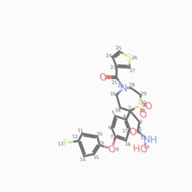 O=C(CC1(c2ccc(Oc3ccc(F)cc3)cc2)CCN(C(=O)c2ccsc2)CCS1(=O)=O)NO